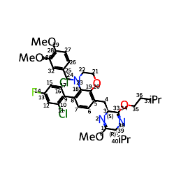 COC1=N[C@@H](Cc2ccc(-c3c(Cl)cc(F)cc3Cl)c3c2OCCN3Cc2ccc(OC)c(OC)c2)C(OCCC(C)C)=N[C@@H]1C(C)C